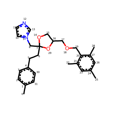 Cc1ccc(CCC2(Cn3ccnc3)OCC(COCc3c(C)cc(C)cc3C)O2)cc1